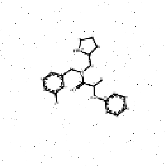 Cc1cccc(CN(CC2CCCN2)C(=O)C(C)Oc2ccccc2)c1